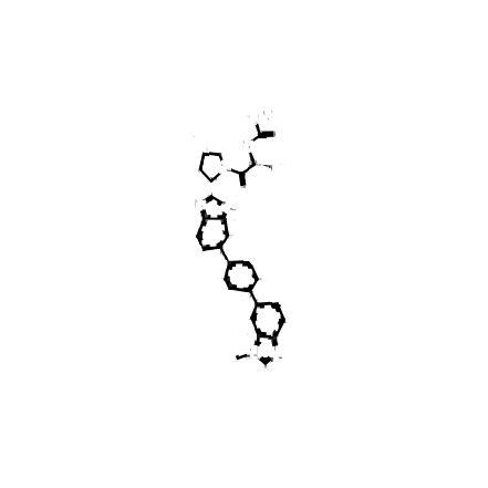 COC(=O)N[C@H](C(=O)N1C[C@@H](C)C[C@H]1c1nc2ccc(-c3ccc(-c4ccc5ncn(C)c5c4)cc3)cc2[nH]1)C(C)C